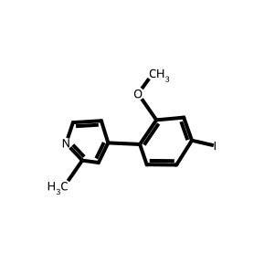 COc1cc(I)ccc1-c1ccnc(C)c1